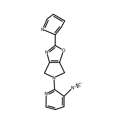 [C-]#[N+]c1cccnc1N1Cc2nc(-c3ccccn3)oc2C1